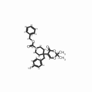 CC1(C)OC=C(C2(Cc3ccc(F)cc3)CCN(C(=O)OCc3ccccc3)CC2)C(=O)O1